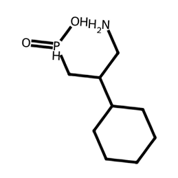 NCC(C[PH](=O)O)C1CCCCC1